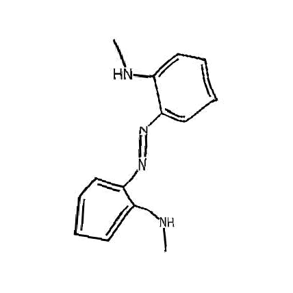 CNc1ccccc1/N=N/c1ccccc1NC